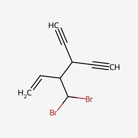 C#CC(C#C)C(C=C)C(Br)Br